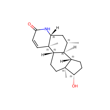 C[C@H]1C[C@H]2NC(=O)C=C[C@]2(C)[C@H]2CC[C@]3(C)[C@@H](O)CC[C@H]3[C@H]12